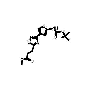 COC(=O)CCc1nc(-c2csc(NC(=O)OC(C)(C)C)c2)no1